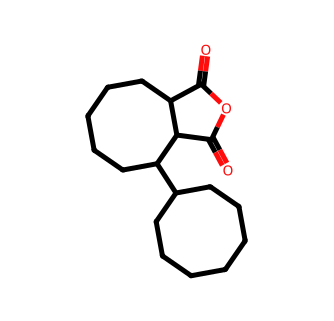 O=C1OC(=O)C2C1CCCCCC2C1CCCCCCC1